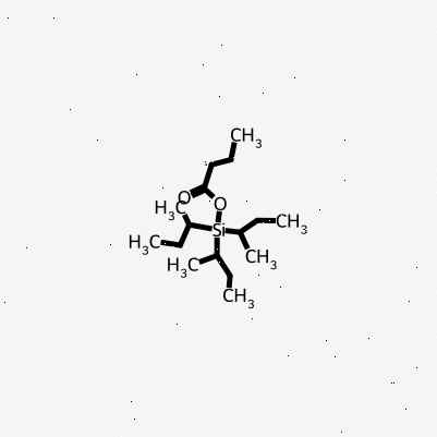 CC[CH]C(=O)O[Si](C(C)CC)(C(C)CC)C(C)CC